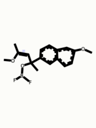 CO/C(C)=C\C(C)(OB(F)F)c1ccc2cc(OC)ccc2c1